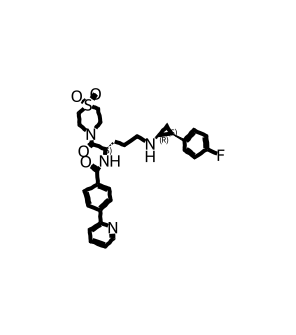 O=C(N[C@@H](CCCN[C@@H]1C[C@H]1c1ccc(F)cc1)C(=O)N1CCS(=O)(=O)CC1)c1ccc(-c2ccccn2)cc1